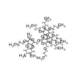 CCCCOCC1O[C@H](OCC2O[C@H](C)C(OCCCC)[C@@H](OCCCC)[C@@H]2OCCCC)C(O[C@H]2OC(COCCCC)[C@@H](OCCCC)C(OCCCC)C2OCCCC)C(OCCCC)[C@@H]1OCCCC